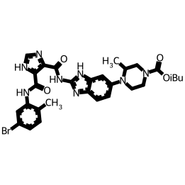 Cc1ccc(Br)cc1NC(=O)c1[nH]cnc1C(=O)Nc1nc2ccc(N3CCN(C(=O)OCC(C)C)CC3C)cc2[nH]1